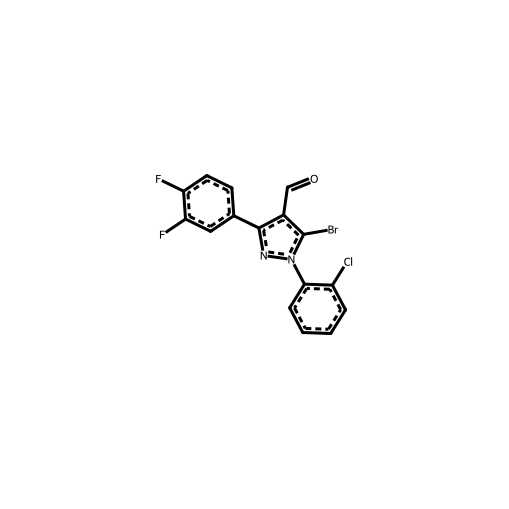 O=Cc1c(-c2ccc(F)c(F)c2)nn(-c2ccccc2Cl)c1Br